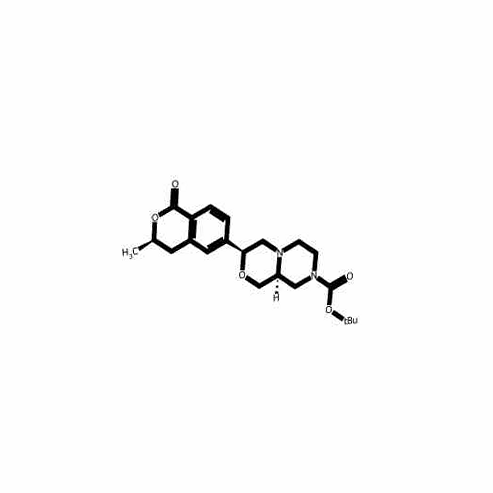 C[C@@H]1Cc2cc([C@H]3CN4CCN(C(=O)OC(C)(C)C)C[C@H]4CO3)ccc2C(=O)O1